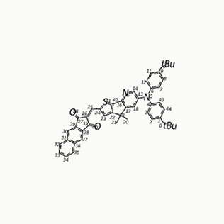 CC(C)(C)c1ccc(N(c2ccc(C(C)(C)C)cc2)c2cnc3c(c2)C(C)(C)c2cc(C=C4C(=O)c5cc6ccccc6cc5C4=O)sc2-3)cc1